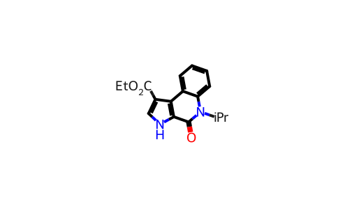 CCOC(=O)c1c[nH]c2c(=O)n(C(C)C)c3ccccc3c12